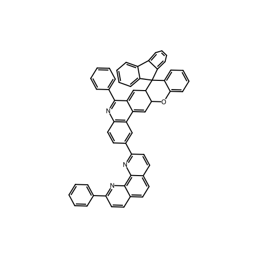 C1=c2c(-c3ccccc3)nc3ccc(-c4ccc5ccc6ccc(-c7ccccc7)nc6c5n4)cc3c2=CC2Oc3ccccc3C3(c4ccccc4-c4ccccc43)C12